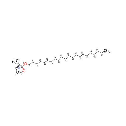 C/C=C(/C)C(=O)OCCCCCCCCCCCCCCCCCCCCCC